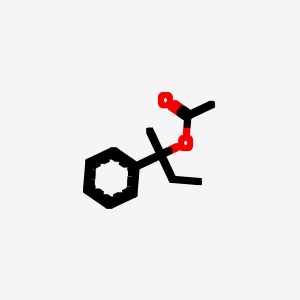 CCC(C)(OC(C)=O)c1ccccc1